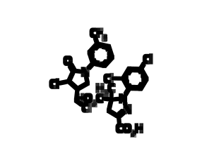 CC1(C(=O)O)CC(C(=O)O)=NN1c1ccc(Cl)cc1Cl.O=C1C(Cl)C(CCl)CN1c1cccc(C(F)(F)F)c1